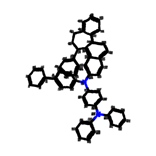 c1ccc(-c2ccc(N(c3ccc(N(c4ccccc4)c4ccccc4)cc3)c3ccc4ccc5c(c4c3)C(c3ccccc3)CCc3ccccc3-5)cc2)cc1